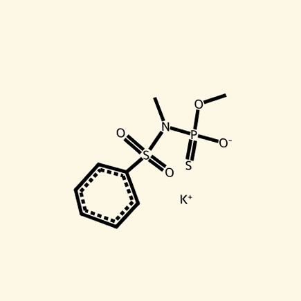 COP([O-])(=S)N(C)S(=O)(=O)c1ccccc1.[K+]